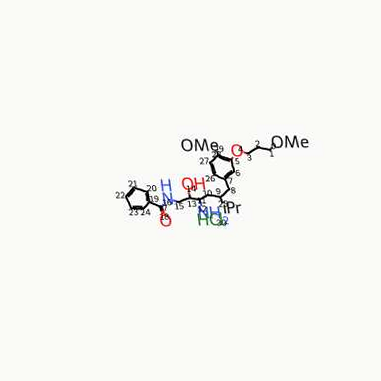 COCCCOc1cc(CC(CC(N)C(O)CNC(=O)c2ccccc2)C(C)C)ccc1OC.Cl